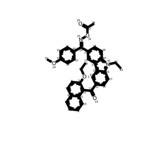 CCOc1ccc2ccccc2c1C(=O)c1ccc2c(c1)c1cc(/C(=N\OC(C)=O)c3ccc(OC)cc3)ccc1n2CC